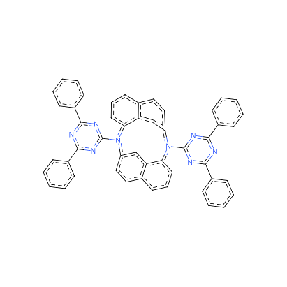 c1ccc(-c2nc(-c3ccccc3)nc(-n3c4ccc5cccc(c5c4)n(-c4nc(-c5ccccc5)nc(-c5ccccc5)n4)c4ccc5cccc3c5c4)n2)cc1